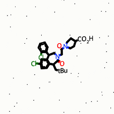 CC(C)(C)CC1C(=O)N(CC(=O)N2CCC(C(=O)O)CC2)CC(c2ccccc2Cl)c2cc(Cl)ccc21